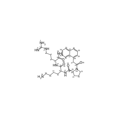 N=C(N)NCCCC(NC(=O)C(CCCCN)NC(=O)[C@@H]1CCCN1C(=O)Cc1cccc2ccccc12)C(N)=O